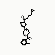 Cc1ccccc1C(=O)N1CCN(C2=CC=C(C(=O)CCCC3CC3)C2)CC1